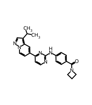 CC(C)c1cnn2ccc(-c3ccnc(Nc4ccc(C(=O)N5CCC5)cc4)n3)cc12